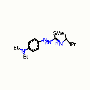 CCN(CC)c1ccc(/N=N/C(=N/C(C)C(C)C)SC)cc1